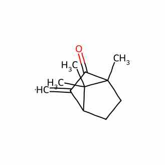 [CH]=C1C(=O)C2(C)CCC1C2(C)C